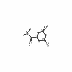 CN(C)C(=O)C1CC(=O)CC(=O)C1